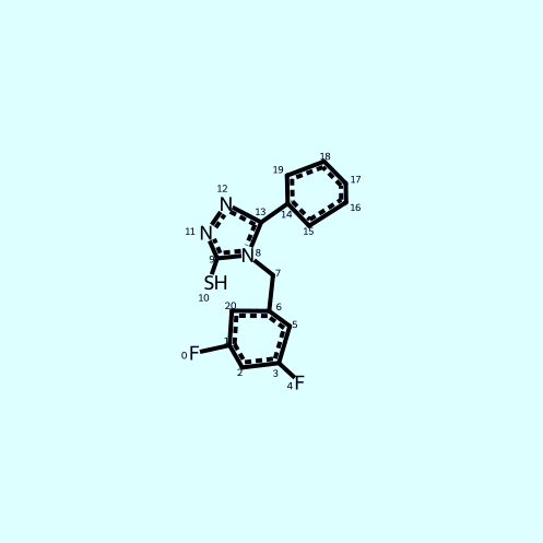 Fc1cc(F)cc(Cn2c(S)nnc2-c2ccccc2)c1